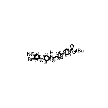 CC(C)(C)OC(=O)N1CCN(c2cnc(C(=O)N[C@H]3CC[C@H](Oc4ccc(C#N)c(Br)c4)CC3)cn2)CC1